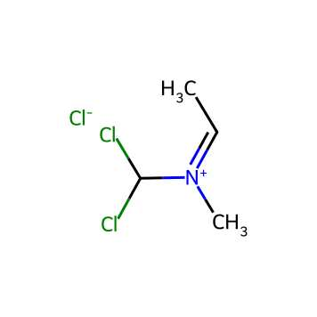 CC=[N+](C)C(Cl)Cl.[Cl-]